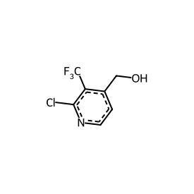 OCc1ccnc(Cl)c1C(F)(F)F